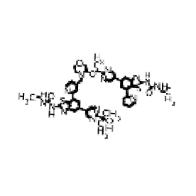 CCNC(=O)Nc1nc2cc(-c3cnc(C(C)OC4COCCN4Cc4ccnc(-c5cc(-c6cnc(C(C)(C)O)nc6)cc6nc(NC(=O)NCC)sc56)c4)nc3)cc(-c3ccccn3)c2s1